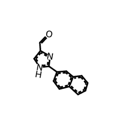 O=Cc1c[nH]c(-c2ccc3ccccc3c2)n1